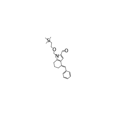 C[Si](C)(C)CCOCn1c(C=O)cc2c1CCC/C2=C\c1ccccc1